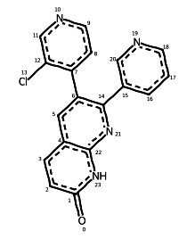 O=c1ccc2cc(-c3ccncc3Cl)c(-c3cccnc3)nc2[nH]1